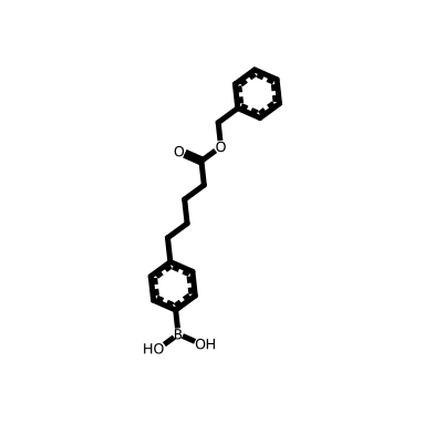 O=C(CCCCc1ccc(B(O)O)cc1)OCc1ccccc1